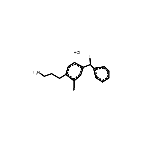 Cl.NCCCc1ccc(C(F)c2ccccc2)cc1F